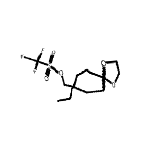 CCC1(COS(=O)(=O)C(F)(F)F)CCC2(CC1)OCCO2